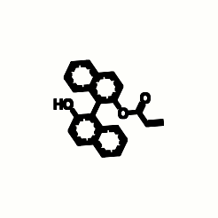 C=CC(=O)Oc1ccc2ccccc2c1-c1c(O)ccc2ccccc12